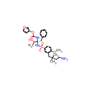 COc1ccc(S(=O)(=O)N[C@](Cc2ccccc2)(NC(=O)Oc2ccoc2)[C@@H](C)O)cc1CC(C)(C)CCN